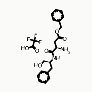 N[C@H](CC(=O)OCc1ccccc1)C(=O)N[C@H](CO)Cc1ccccc1.O=C(O)C(F)(F)F